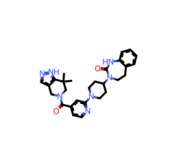 CC1(C)CN(C(=O)c2ccnc(N3CCC(N4CCc5ccccc5NC4=O)CC3)c2)Cc2cn[nH]c21